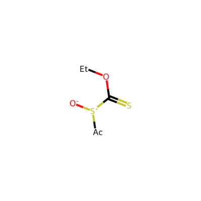 CCOC(=S)[S+]([O-])C(C)=O